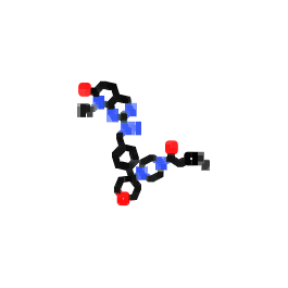 C=CC(=O)N1CCN(C2(c3ccc(CNc4ncc5ccc(=O)n(C(C)C)c5n4)cc3)CCOCC2)CC1